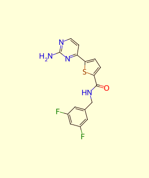 Nc1nccc(-c2ccc(C(=O)NCc3cc(F)cc(F)c3)s2)n1